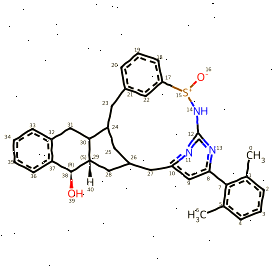 Cc1cccc(C)c1-c1cc2nc(n1)N[S+]([O-])c1cccc(c1)CC1CC(C2)C[C@H]2C1Cc1ccccc1[C@@H]2O